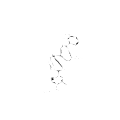 COCc1ccccc1-c1ccc(-c2nc(-c3ccc(C(=O)OC)c(F)c3)no2)cc1C